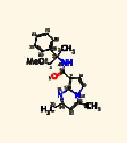 COCC(C)(NC(=O)c1ccn2c(C)cc(C)nc12)c1ccccc1